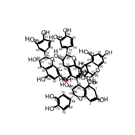 OC1=CC2=C(C(O)C1)[C@H](c1c(O)c3c(c4c1O[C@]1(I)Oc5cc(O)cc(O)c5[C@H]4[C@H]1O)O[C@H](c1ccc(O)c(O)c1)[C@H](O)[C@H]3c1c(O)cc(O)c3c1O[C@H](c1ccc(O)c(O)c1)[C@@H](O)C3)[C@@H](O)[C@@H](c1ccc(O)c(O)c1)O2